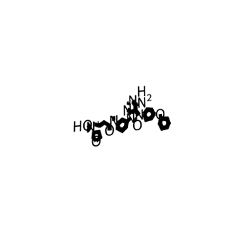 CN(C(=O)/C=C/C[N+](C)(O)[C@@H]1CCOC1)c1cccc(-n2c(=O)n(-c3ccc(Oc4ccccc4)cc3)c3c(N)ncnc32)c1